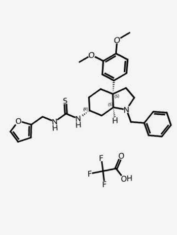 COc1ccc([C@@]23CC[C@@H](NC(=S)NCc4ccco4)C[C@@H]2N(Cc2ccccc2)CC3)cc1OC.O=C(O)C(F)(F)F